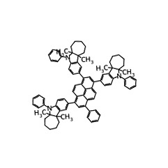 CC12CCCCCC1(C)N(c1ccccc1)c1ccc(-c3cc(-c4ccccc4)c4ccc5c(-c6ccc7c(c6)C6(C)CCCCCC6(C)N7c6ccccc6)cc(-c6ccc7c(c6)C6(C)CCCCCC6(C)N7c6ccccc6)c6ccc3c4c56)cc12